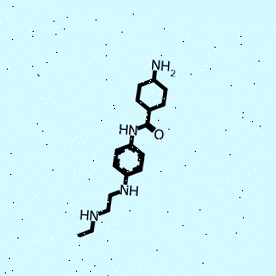 CCNCCNc1ccc(NC(=O)C2CCC(N)CC2)cc1